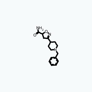 NC(=O)C1CC(C2CCN(Cc3ccccc3)CC2)=NO1